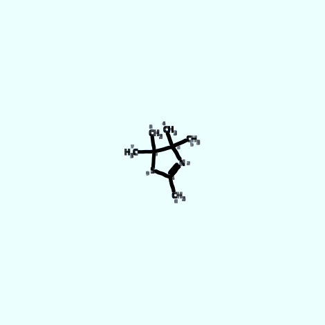 CC1=NC(C)(C)C(C)(C)S1